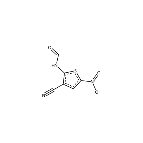 N#Cc1cc([N+](=O)[O-])sc1NC=O